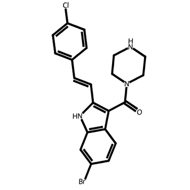 O=C(c1c(C=Cc2ccc(Cl)cc2)[nH]c2cc(Br)ccc12)N1CCNCC1